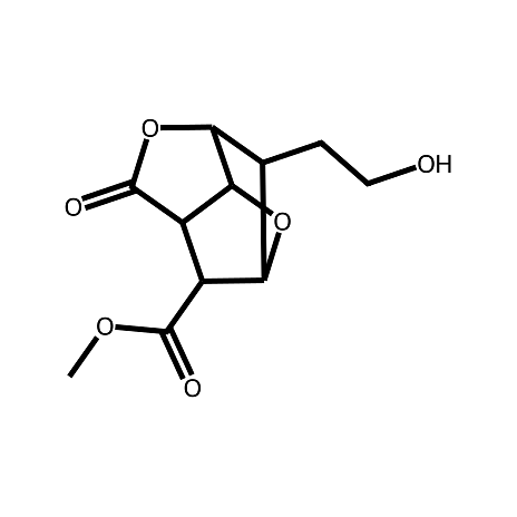 COC(=O)C1C2OC3C(OC(=O)C31)C2CCO